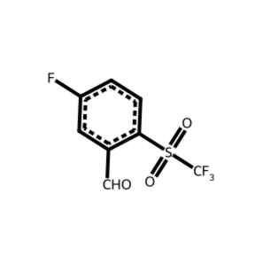 O=Cc1cc(F)ccc1S(=O)(=O)C(F)(F)F